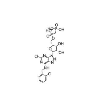 O=P(O)(O)CP(=O)(O)OC[C@H]1O[C@@H](n2nnc3c(NCc4ccccc4Cl)nc(Cl)nc32)[C@@H](O)[C@@H]1O